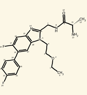 CCOCCn1c(CNC(=O)[C@H](C)N)nc2cc(F)c(-c3ccc(F)cc3)cc21